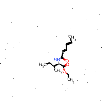 C/C=C/C=C/C(=O)N[C@H](C(=O)OCC)[C@@H](C)CC